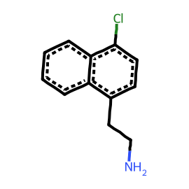 NCCc1ccc(Cl)c2ccccc12